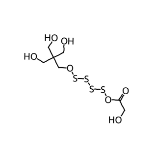 O=C(CO)OSSSSOCC(CO)(CO)CO